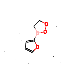 c1coc(B2CCOO2)c1